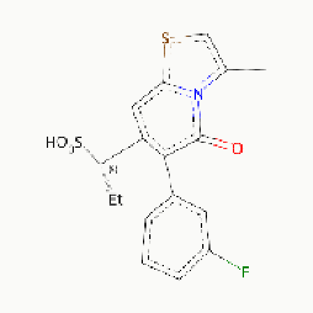 CC[C@@H](c1cc2scc(C)n2c(=O)c1-c1cccc(F)c1)S(=O)(=O)O